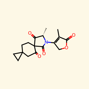 CC1=C(N2C(=O)C3(CCC4(CC4)CC3=O)C(=O)[C@@H]2C)COC1=O